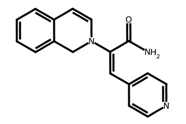 NC(=O)C(=Cc1ccncc1)N1C=Cc2ccccc2C1